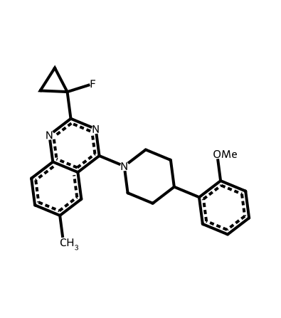 COc1ccccc1C1CCN(c2nc(C3(F)CC3)nc3ccc(C)cc23)CC1